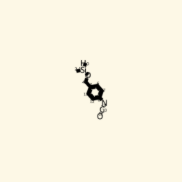 C[SiH](C)OCc1ccc(N=C=O)cc1